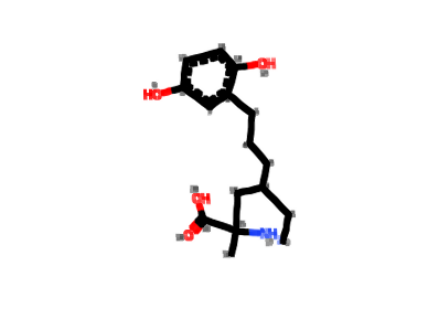 CCC(CCCc1cc(O)ccc1O)CC(C)(N)C(=O)O